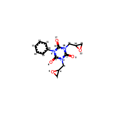 O=c1n(CC2CO2)c(=O)n(-c2ccccc2)c(=O)n1CC1CO1